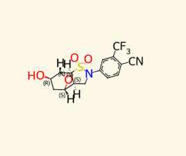 N#Cc1ccc(N2C[C@@H]3[C@@H]([C@@H]4O[C@H]3C[C@H]4O)S2(=O)=O)cc1C(F)(F)F